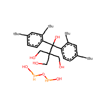 CC(C)(C)c1ccc(C(O)(c2ccc(C(C)(C)C)cc2C(C)(C)C)C(CO)(CO)CO)c(C(C)(C)C)c1.OPOPO